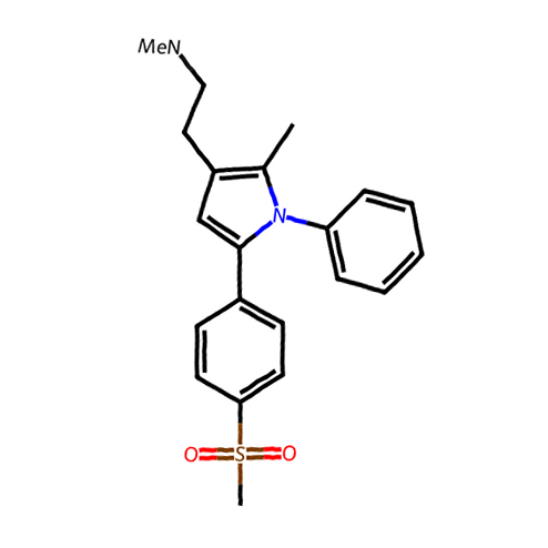 CNCCc1cc(-c2ccc(S(C)(=O)=O)cc2)n(-c2ccccc2)c1C